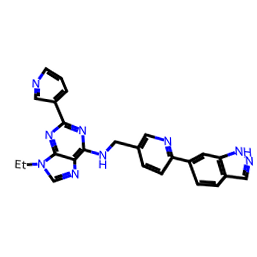 CCn1cnc2c(NCc3ccc(-c4ccc5cn[nH]c5c4)nc3)nc(-c3cccnc3)nc21